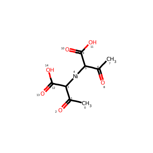 CC(=O)[CH]([Ni][CH](C(C)=O)C(=O)O)C(=O)O